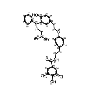 CC(C)N(CC[C@H](c1ccccc1)c1cc(CCOc2ccc(CCNC(=O)c3cc(Cl)c(O)c(Cl)c3)cc2)ccc1O)C(C)C